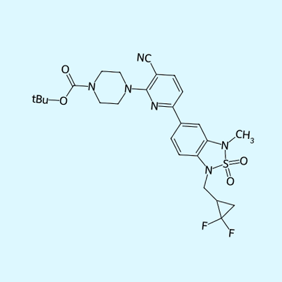 CN1c2cc(-c3ccc(C#N)c(N4CCN(C(=O)OC(C)(C)C)CC4)n3)ccc2N(CC2CC2(F)F)S1(=O)=O